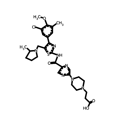 COc1c(C)cc(-c2nc(NC(=O)c3cnc(N4CCN(CCC(=O)O)CC4)cn3)sc2CN2CCCC2C)cc1Cl